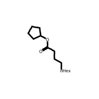 [CH2]CCCCCCCCC(=O)OC1CCCC1